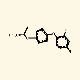 C[C@@H](Oc1ccc(Oc2ccc(I)cc2F)cc1)C(=O)O